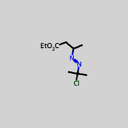 CCOC(=O)CC(C)N=NC(C)(C)Cl